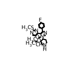 CSc1nccc(C2=C(c3ccc(F)cc3)N=C[N+]2(C(=O)OC(C)(C)C)C2CCNCC2)n1